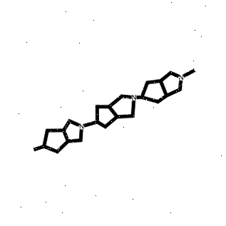 CC1CC2CN(C3CC4CN(C5CC6CN(C)CC6C5)CC4C3)CC2C1